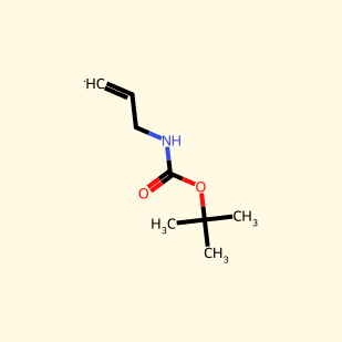 [CH]=CCNC(=O)OC(C)(C)C